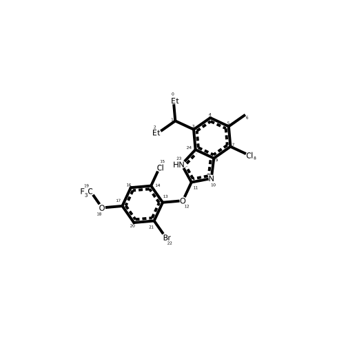 CCC(CC)c1cc(C)c(Cl)c2nc(Oc3c(Cl)cc(OC(F)(F)F)cc3Br)[nH]c12